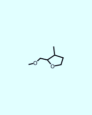 COC[C]1OCCC1C